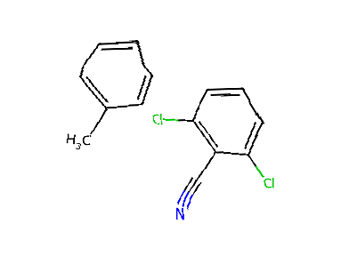 Cc1ccccc1.N#Cc1c(Cl)cccc1Cl